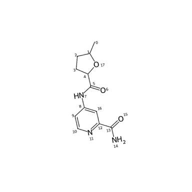 CC1CCC(C(=O)Nc2ccnc(C(N)=O)c2)O1